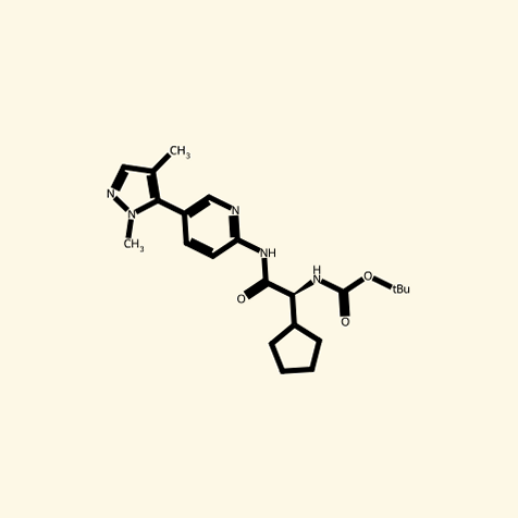 Cc1cnn(C)c1-c1ccc(NC(=O)[C@@H](NC(=O)OC(C)(C)C)C2CCCC2)nc1